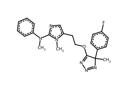 CN(c1ccccc1)c1ncc(CCOC2=NN=NC2(C)c2ccc(F)cc2)n1C